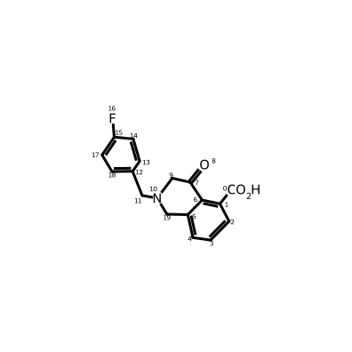 O=C(O)c1cccc2c1C(=O)CN(Cc1ccc(F)cc1)C2